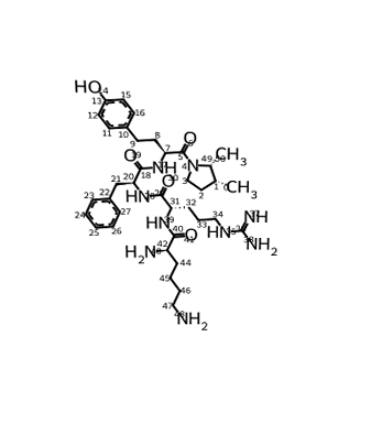 C[C@@H]1CCN(C(=O)[C@H](CCc2ccc(O)cc2)NC(=O)[C@H](Cc2ccccc2)NC(=O)[C@H](CCCNC(=N)N)NC(=O)[C@H](N)CCCCN)[C@@H]1C